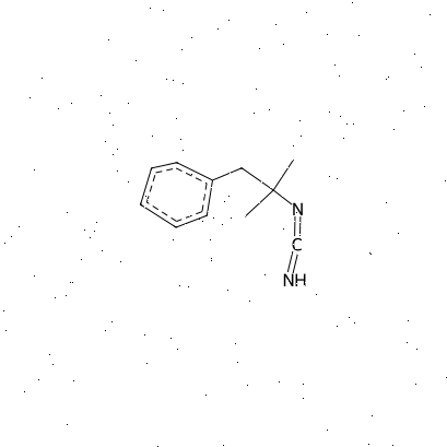 CC(C)(Cc1ccccc1)N=C=N